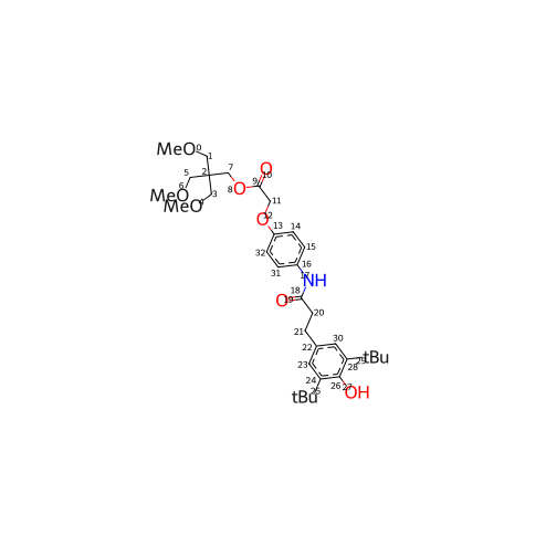 COCC(COC)(COC)COC(=O)COc1ccc(NC(=O)CCc2cc(C(C)(C)C)c(O)c(C(C)(C)C)c2)cc1